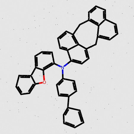 c1ccc(-c2ccc(N(c3ccc4c5c(cccc35)Cc3cccc5cccc(c35)C4)c3cccc4c3oc3ccccc34)cc2)cc1